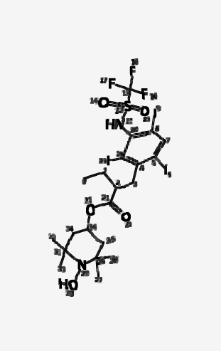 CCC(Cc1c(I)cc(I)c(NS(=O)(=O)C(F)(F)F)c1I)C(=O)OC1CC(C)(C)N(O)C(C)(C)C1